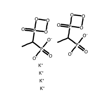 CC(P(=O)([O-])[O-])P1(=O)OOO1.CC(P(=O)([O-])[O-])P1(=O)OOO1.[K+].[K+].[K+].[K+]